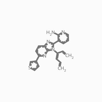 C=C/C=C(\C=C)n1c(-c2cccnc2N)nc2ccc(-c3ccsc3)nc21